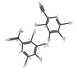 N#Cc1nc(Cl)c(Cl)c(Cl)c1Cl.Nc1c(Cl)c(Cl)nc(C(=O)O)c1Cl